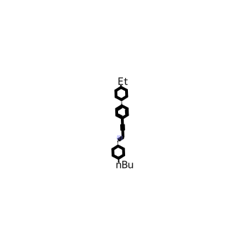 CCCC[C@H]1CC[C@H](/C=C/C#Cc2ccc([C@H]3CC[C@H](CC)CC3)cc2)CC1